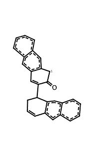 O=C1[C]c2cc3ccccc3cc2C=C1C1CC=Cc2cc3ccccc3cc21